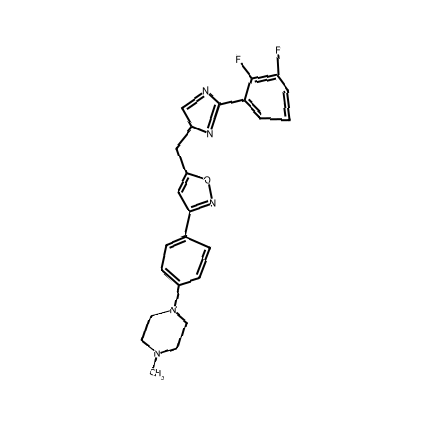 CN1CCN(c2ccc(-c3cc(CC4C=NC(c5cccc(F)c5F)=N4)on3)cc2)CC1